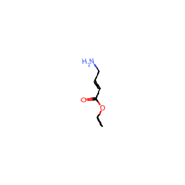 CCOC(=O)C=CCN